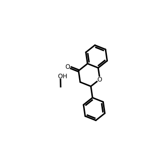 CO.O=C1CC(c2ccccc2)Oc2ccccc21